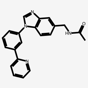 CC(=O)NCc1ccc2c(c1)ncn2-c1cccc(-c2ccccn2)c1